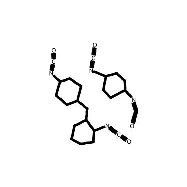 O=C=NC1CCC(CC2CCCCC2N=C=O)CC1.O=C=NC1CCC(N=C=O)CC1